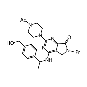 CC(=O)N1CCN(c2nc(NC(C)c3ccc(CO)cc3)c3c(n2)C(=O)N(C(C)C)C3)CC1